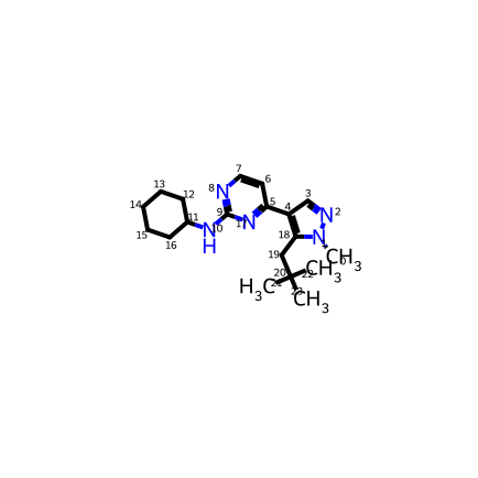 Cn1ncc(-c2ccnc(NC3CCCCC3)n2)c1CC(C)(C)C